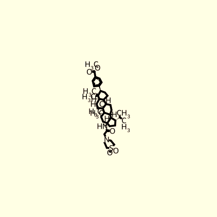 COC(=O)c1ccc([C@H]2CC[C@]3(C)[C@H]4CC[C@@H]5[C@H]6[C@H](C(C)C)CC[C@]6(NC(=O)CN6CCS(=O)(=O)CC6)CC[C@@]5(C)[C@]4(C)CC[C@H]3C2(C)C)cc1